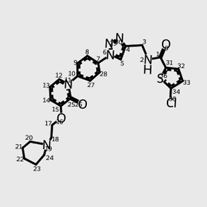 O=C(NCc1cn(-c2ccc(-n3cccc(OCCN4CCCCC4)c3=O)cc2)nn1)c1ccc(Cl)s1